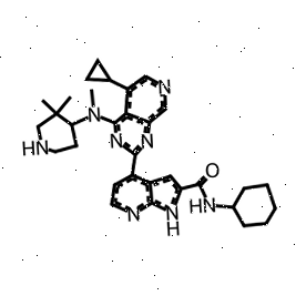 CN(c1nc(-c2ccnc3[nH]c(C(=O)NC4CCCCC4)cc23)nc2cncc(C3CC3)c12)C1CCNCC1(C)C